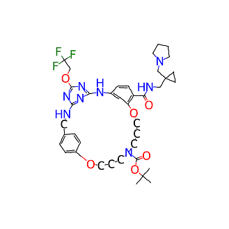 CC(C)(C)OC(=O)N1CCCOc2ccc(cc2)CNc2nc(nc(OCC(F)(F)F)n2)Nc2ccc(C(=O)NCC3(CN4CCCC4)CC3)c(c2)OCCC1